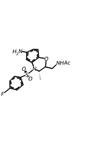 CC(=O)NCC1Oc2ccc(N)cc2N(S(=O)(=O)c2ccc(F)cc2)[C@H]1C